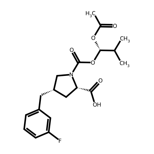 CC(=O)O[C@@H](OC(=O)N1C[C@@H](Cc2cccc(F)c2)C[C@H]1C(=O)O)C(C)C